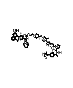 CCc1cccc2cc(O)cc(-c3ncc4c(N5CC6CCC(C5)N6)nc(OCCN5CCC(F)(CN6CCN(c7cc(CC(=O)N8CCCC8C(=O)NC(C)c8ccc(-c9scnc9C)cc8)on7)C(C)C6)CC5)nc4c3F)c12